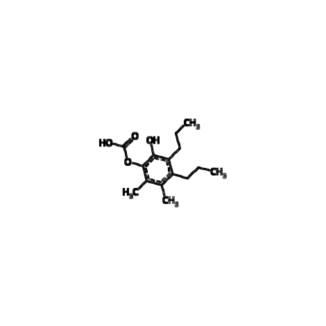 CCCc1c(C)c(C)c(OC(=O)O)c(O)c1CCC